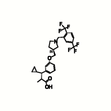 CC(C(=O)O)C(c1cccc(OC[C@H]2CCN(Cc3cc(C(F)(F)F)ccc3C(F)(F)F)C2)c1)C1CC1